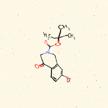 CC(C)(C)OC(=O)N1CC(=O)c2ccc(Br)cc2C1